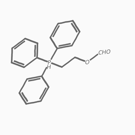 O=COCC[PH](c1ccccc1)(c1ccccc1)c1ccccc1